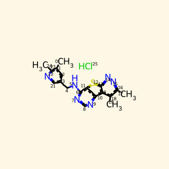 Cc1cc(CNc2ncnc3c2sc2nnc(C)c(C)c23)cnc1C.Cl